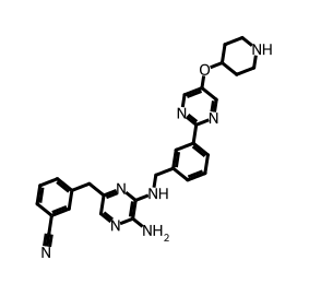 N#Cc1cccc(Cc2cnc(N)c(NCc3cccc(-c4ncc(OC5CCNCC5)cn4)c3)n2)c1